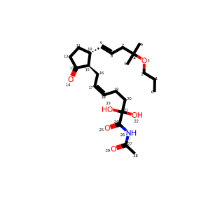 CCCOC(C)(C)C/C=C/[C@H]1CCC(=O)[C@@H]1C/C=C\CCC(O)(O)C(=O)NC(C)=O